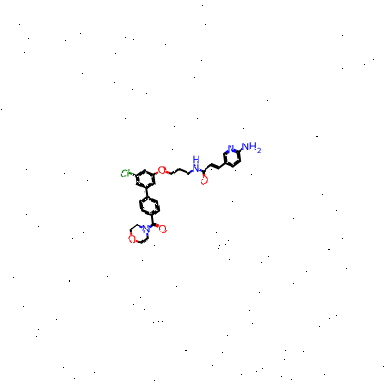 Nc1ccc(/C=C/C(=O)NCCCOc2cc(Cl)cc(-c3ccc(C(=O)N4CCOCC4)cc3)c2)cn1